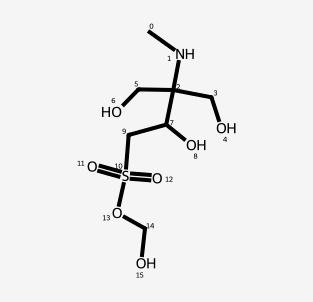 CNC(CO)(CO)C(O)CS(=O)(=O)OCO